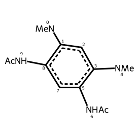 CNc1cc(NC)c(NC(C)=O)cc1NC(C)=O